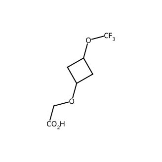 O=C(O)COC1CC(OC(F)(F)F)C1